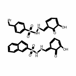 CC(C)Cc1ccc(S(=O)(=O)NN/C=C2\C=CC=C(O)C2=O)cc1.O=C1C(O)=CC=C/C1=C\NNS(=O)(=O)c1ccc2ccccc2c1